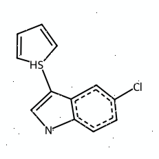 Clc1ccc2c(c1)C([SH]1C=CC=C1)=C[N]2